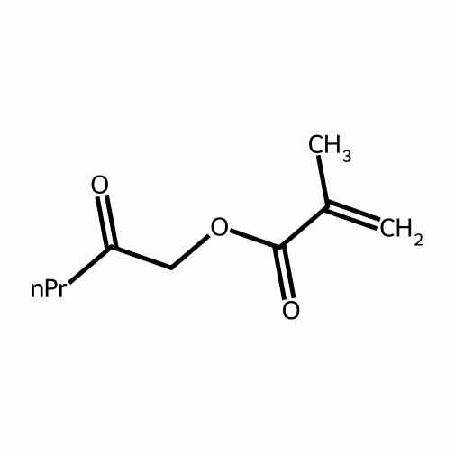 C=C(C)C(=O)OCC(=O)CCC